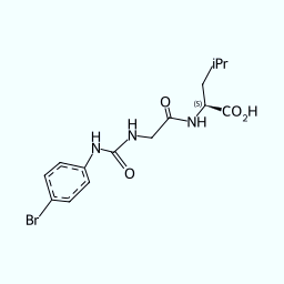 CC(C)C[C@H](NC(=O)CNC(=O)Nc1ccc(Br)cc1)C(=O)O